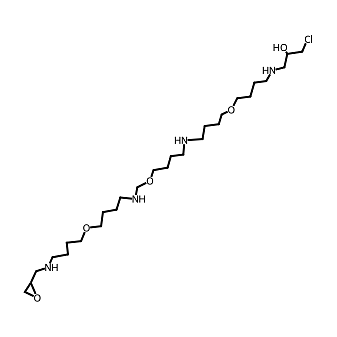 OC(CCl)CNCCCCOCCCCNCCCCOCNCCCCOCCCCNCC1CO1